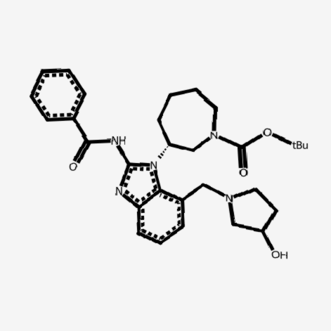 CC(C)(C)OC(=O)N1CCCC[C@@H](n2c(NC(=O)c3ccccc3)nc3cccc(CN4CCC(O)C4)c32)C1